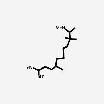 CCCCC(CCC)CCC(C)CCCCC(C)(C)C(C)NC